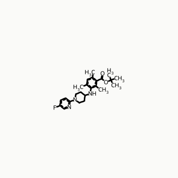 Cc1cc(C)c(C(=O)OC(C)(C)C)c(C)c1NC1CCN(c2ccc(F)cn2)CC1